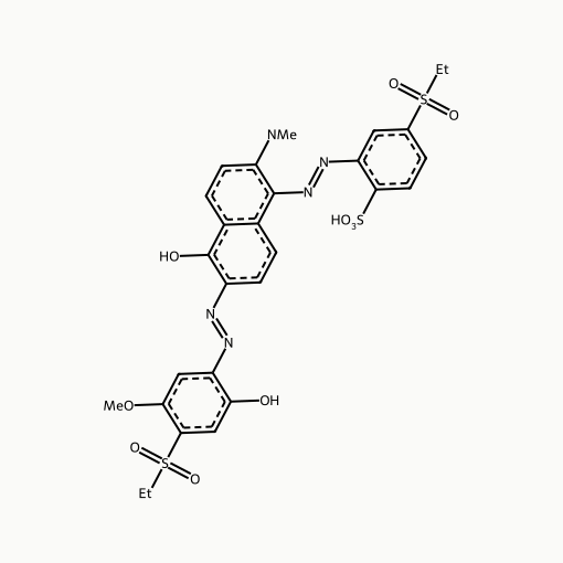 CCS(=O)(=O)c1ccc(S(=O)(=O)O)c(/N=N/c2c(NC)ccc3c(O)c(/N=N/c4cc(OC)c(S(=O)(=O)CC)cc4O)ccc23)c1